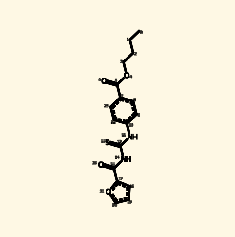 CCCCOC(=O)c1ccc(NC(=S)NC(=O)c2ccco2)cc1